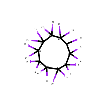 I[C]1C(I)(I)C(I)(I)C(I)(I)C(I)(I)C(I)(I)C(I)(I)C(I)(I)C(I)(I)C1(I)I